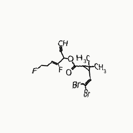 C#CC(OC(=O)C1C(C=C(Br)Br)C1(C)C)/C(F)=C/CCF